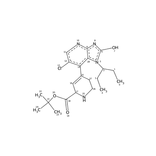 CCC(CC)n1c(O)nc2ncc(Cl)c(C3=CC(C(=O)OC(C)(C)C)NCC3)c21